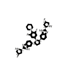 Fc1cc(N2[C@@H](c3ccc4nc([C@@H]5C[C@@H](F)CN5)[nH]c4c3)CC[C@@H]2c2ccc3nc([C@@H]4C[C@@H](F)CN4)[nH]c3c2)cc(F)c1N1CCCCC1